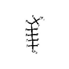 F[C](C(F)(F)C(F)(F)F)C(F)(F)C(F)(F)C(F)(F)C(F)(F)C(F)(F)F